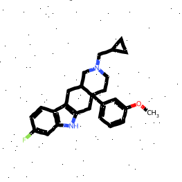 COc1cccc(C23CCN(CC4CC4)CC2Cc2c([nH]c4cc(F)ccc24)C3)c1